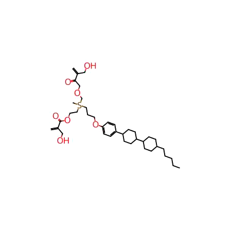 C=C(CO)C(=O)COCS(C)(CCCOc1ccc(C2CCC(C3CCC(CCCCC)CC3)CC2)cc1)CCOC(=O)C(=C)CO